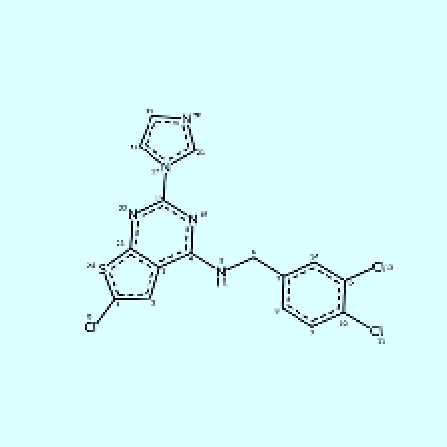 Clc1cc2c(NCc3ccc(Cl)c(Cl)c3)nc(-n3ccnc3)nc2s1